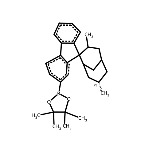 CC1CC2CC(C[C@@H](C)C2)C12c1ccccc1-c1ccc(B3OC(C)(C)C(C)(C)O3)cc12